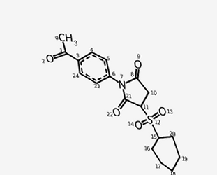 CC(=O)c1ccc(N2C(=O)CC(S(=O)(=O)C3CCCCC3)C2=O)cc1